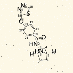 O=C(N[C@@H]1C[C@H]2CC[C@@H]1N2)c1ccc(Oc2nncs2)cc1